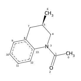 CC(=O)N1C[C@H](C)Cc2ccccc21